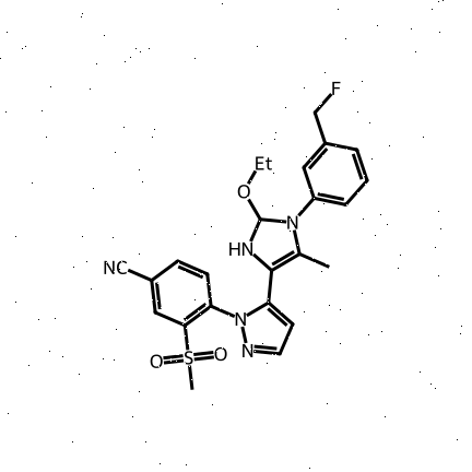 CCOC1NC(c2ccnn2-c2ccc(C#N)cc2S(C)(=O)=O)=C(C)N1c1cccc(CF)c1